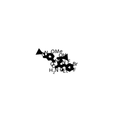 CCOc1c(C(N)=O)cc([C@@](O)(CNC(=O)c2cc(OC)c3nn(C4CC4)cc3c2)C2CC2)nc1-c1ccc(F)c(Br)c1F